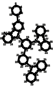 c1ccc(-c2ccc3c(c2)c2ncccc2n3-c2cc(-c3cccc(-n4c5ccccc5c5ccccc54)c3)cc(-n3c4ccccc4c4ccccc43)c2)cc1